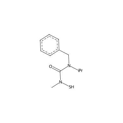 CC(C)N(Cc1ccccc1)C(=O)N(C)S